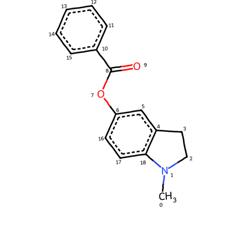 CN1CCc2cc(OC(=O)c3ccccc3)ccc21